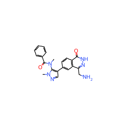 CN(C(=O)c1ccccc1)c1c(-c2ccc3c(=O)[nH]nc(CN)c3c2)cnn1C